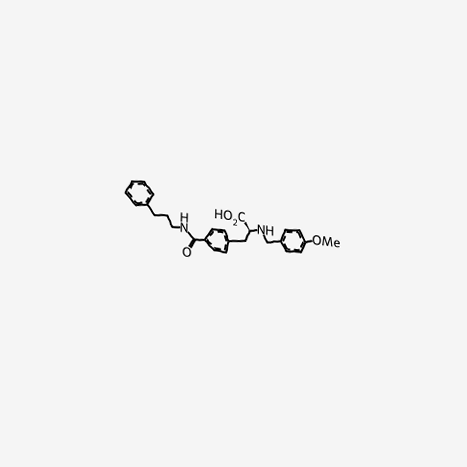 COc1ccc(CN[C@@H](Cc2ccc(C(=O)NCCCc3ccccc3)cc2)C(=O)O)cc1